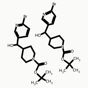 CC(C)(C)OC(=O)N1CCC(C(O)c2ccc(Br)nc2)CC1.CC(C)(C)OC(=O)N1CCC(C(O)c2ccc(Br)nc2)CC1